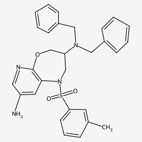 Cc1cccc(S(=O)(=O)N2CC(N(Cc3ccccc3)Cc3ccccc3)COc3ncc(N)cc32)c1